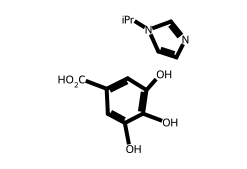 CC(C)n1ccnc1.O=C(O)c1cc(O)c(O)c(O)c1